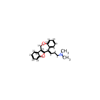 CN(C)CC/C=C1\c2ccccc2OCc2c1oc1ccccc21